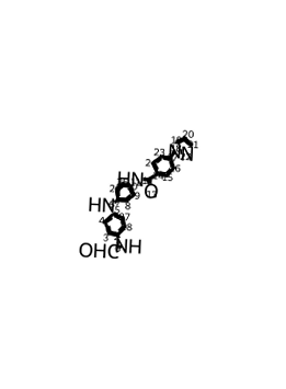 O=CNc1ccc(Nc2ccc(NC(=O)c3ccc(-n4cccn4)cc3)cc2)cc1